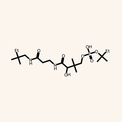 CCC(C)(C)CNC(=O)CCNC(=O)C(O)C(C)(C)COP(=O)(O)OC(C)(C)CC